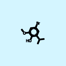 COc1cc(Br)cc(C(C)C)c1O